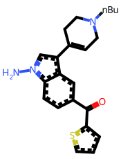 CCCCN1CC=C(c2cn(N)c3ccc(C(=O)c4cccs4)cc23)CC1